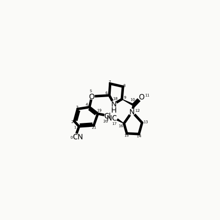 N#Cc1ccc(OC2CC[C@@H](C(=O)N3CCC[C@H]3C#N)N2)c(Cl)c1